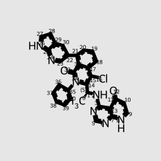 C[C@H](Nc1ncnc2[nH]ccc(=O)c12)c1c(Cl)c2cccc(-c3cnc4[nH]ccc4c3)c2c(=O)n1-c1ccccc1